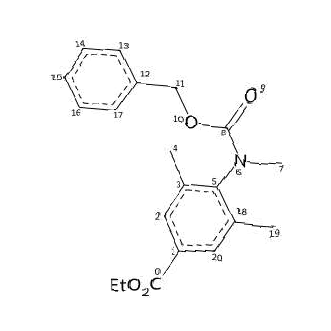 CCOC(=O)c1cc(C)c(N(C)C(=O)OCc2ccccc2)c(C)c1